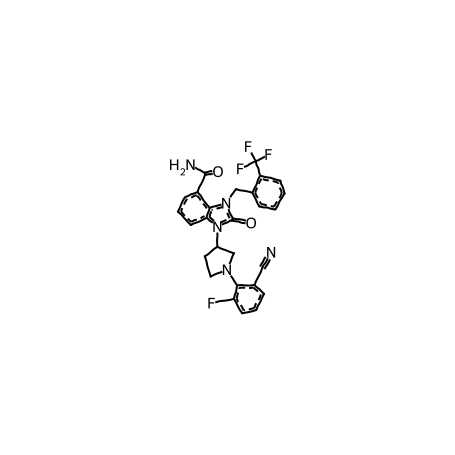 N#Cc1cccc(F)c1N1CCC(n2c(=O)n(Cc3ccccc3C(F)(F)F)c3c(C(N)=O)cccc32)C1